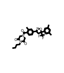 CCCCN1C(=O)CN(C(=O)c2ccc(C3=NOC(c4cc(C)cc(C)c4)(C(F)(F)F)C3)cc2C)CC1=O